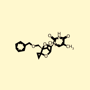 Cc1cn([C@@H]2O[C@]3(COCc4ccccc4)C(C)C2OC32CC2)c(=O)[nH]c1=O